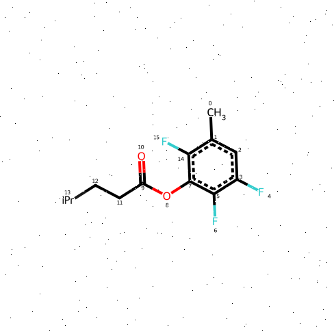 Cc1cc(F)c(F)c(OC(=O)CCC(C)C)c1F